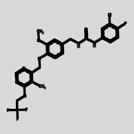 COc1cc(CNC(=O)Nc2ccc(F)c(Cl)c2)ccc1OCc1nccc(OCC(F)(F)F)c1C